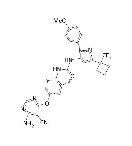 COc1ccc(-n2nc(C3(C(F)(F)F)CCC3)cc2NC(=O)Nc2ccc(Oc3ncnc(N)c3C#N)cc2F)cc1